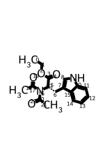 CCOC(=O)[C@H](Cc1c[nH]c2ccccc12)N(C(C)=O)C(C)=O